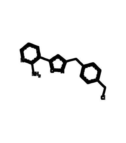 Nc1ncccc1-c1cc(Cc2ccc(CCl)cc2)no1